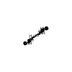 O=C(CCSCCSCCC(=O)Nc1ccc(Nc2ccccc2)cc1)Nc1ccc(Nc2ccccc2)cc1